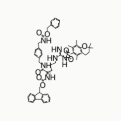 Cc1c(C)c(S(=O)(=O)NC(=N)NCCC[C@@H](NC(=O)OCC2c3ccccc3-c3ccccc32)C(=O)NCc2ccc(CNC(=O)OCc3ccccc3)cc2)c(C)c2c1OC(C)(C)CC2